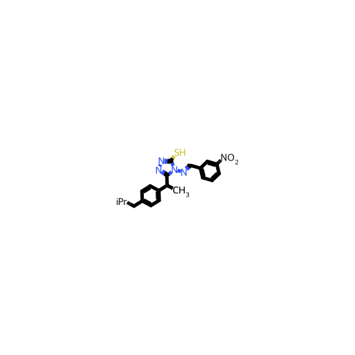 CC(C)Cc1ccc(C(C)c2nnc(S)n2N=Cc2cccc([N+](=O)[O-])c2)cc1